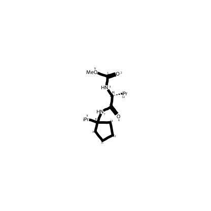 COC(=O)N[C@@H](C(=O)NC1(C(C)C)CCCC1)C(C)C